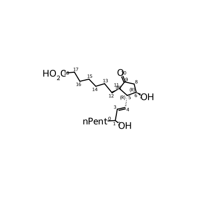 CCCCCC(O)C=C[C@H]1[C@H](O)CC(=O)[C@@H]1CCCCCCC(=O)O